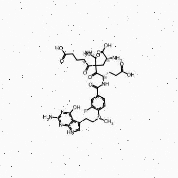 CN(CCc1c[nH]c2nc(N)nc(O)c12)c1ccc(C(=O)N[C@@H](CCC(=O)O)C(=O)C(C[C@H](N)C(=O)O)(C(=O)O)C(=O)[C@@H](N)CCC(=O)O)cc1F